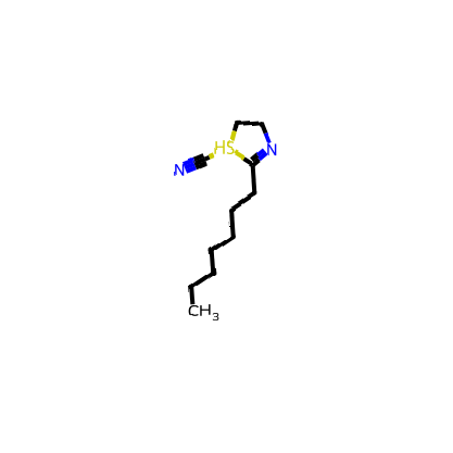 CCCCCCCC1=NCC[SH]1C#N